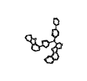 c1ccc(-c2ccc(N(c3ccc(-c4cccc5c4oc4ccccc45)cc3)c3cncc4c3oc3c5ccccc5ccc43)cc2)cc1